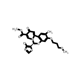 COCCCOc1cc2c(cc1C)-c1cc(=O)c(C(=O)OC)cn1[C@H](c1scnc1Cl)O2